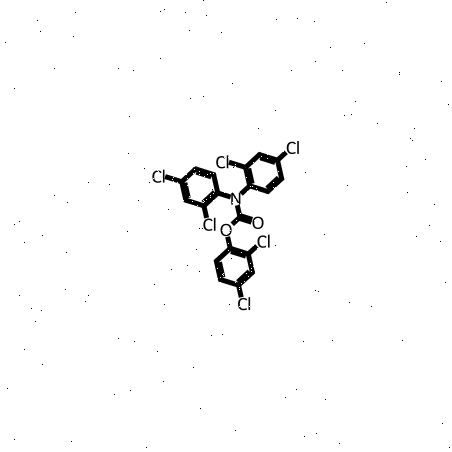 O=C(Oc1ccc(Cl)cc1Cl)N(c1ccc(Cl)cc1Cl)c1ccc(Cl)cc1Cl